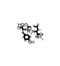 CC(=O)N[C@@H](Cc1ccc(O)cc1)C(=O)O.CC(C)CC(N)C(N)=O